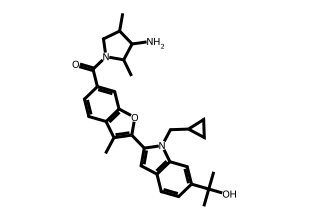 Cc1c(-c2cc3ccc(C(C)(C)O)cc3n2CC2CC2)oc2cc(C(=O)N3CC(C)C(N)C3C)ccc12